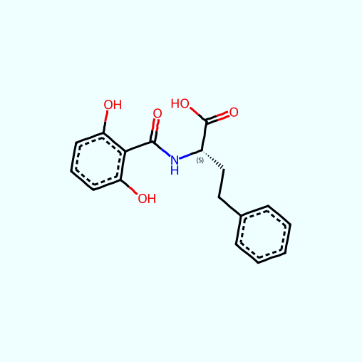 O=C(N[C@@H](CCc1ccccc1)C(=O)O)c1c(O)cccc1O